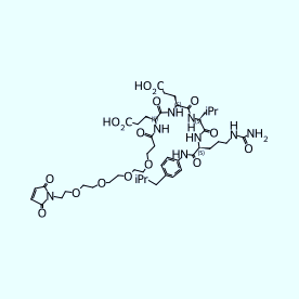 CC(C)Cc1ccc(NC(=O)[C@H](CCCNC(N)=O)NC(=O)[C@@H](NC(=O)[C@H](CCC(=O)O)NC(=O)[C@H](CCC(=O)O)NC(=O)CCOCCOCCOCCOCCN2C(=O)C=CC2=O)C(C)C)cc1